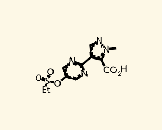 CCS(=O)(=O)Oc1cnc(-c2cnn(C)c2C(=O)O)nc1